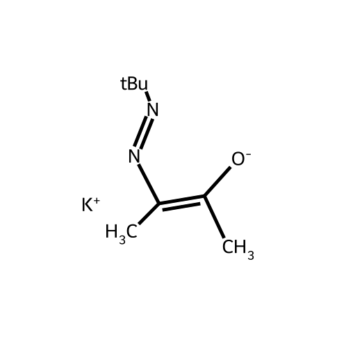 CC([O-])=C(C)N=NC(C)(C)C.[K+]